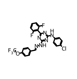 Fc1cccc(F)c1-c1nc(N/N=C/c2ccc(OC(F)(F)F)cc2)nc(Nc2ccc(Cl)cc2)n1